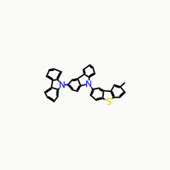 Cc1ccc2sc3ccc(-n4c5ccccc5c5cc(-n6c7ccccc7c7ccccc76)ccc54)cc3c2c1